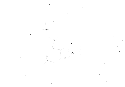 CC(=O)Oc1cc([N+](=O)[O-])nn1CC(=O)OC(C)(C)C